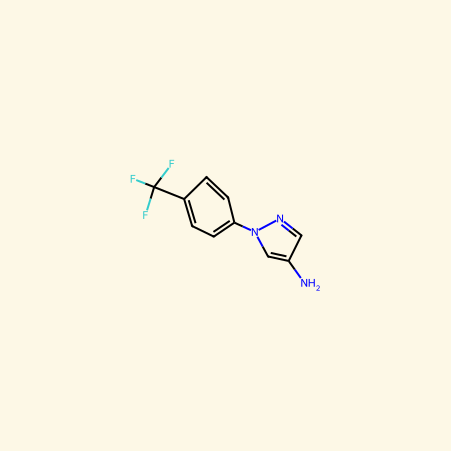 Nc1cnn(-c2ccc(C(F)(F)F)cc2)c1